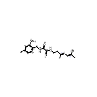 CC/C(C)=C\N=C(/C)CCNC(=O)C(=O)NCc1ccc(C)cc1OC